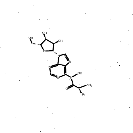 CC(C)[C@H](N)C(=O)N(O)c1ncnc2c1ncn2[C@@H]1O[C@H](CO)[C@@H](O)[C@H]1O